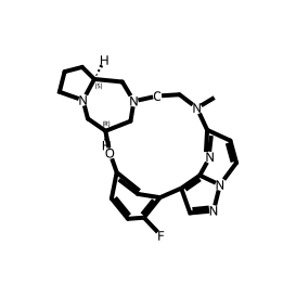 CN1CCN2C[C@H](CN3CCC[C@H]3C2)Oc2ccc(F)c(c2)-c2cnn3ccc1nc23